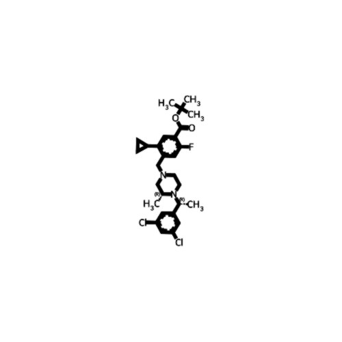 C[C@@H]1CN(Cc2cc(F)c(C(=O)OC(C)(C)C)cc2C2CC2)CCN1[C@H](C)c1cc(Cl)cc(Cl)c1